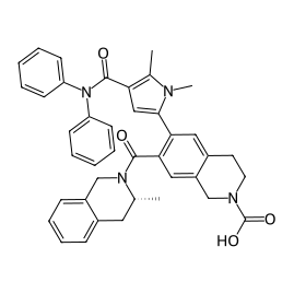 Cc1c(C(=O)N(c2ccccc2)c2ccccc2)cc(-c2cc3c(cc2C(=O)N2Cc4ccccc4C[C@H]2C)CN(C(=O)O)CC3)n1C